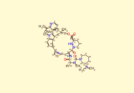 CCn1c(-c2cccnc2[C@H](C)OC)c2c3cc(ccc31)-c1csc(n1)C[C@H](NC(=O)C(C(C)C)N(C)C(=O)N1CCCC[C@H](N(C)C)C1)C(=O)N1CCC[C@H](N1)C(=O)OCC(C)(C)C2